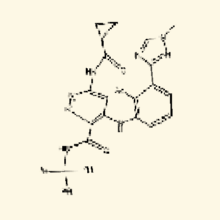 [2H]C([2H])([2H])NC(=O)c1nnc(NC(=O)C2CC2)cc1Nc1cccc(-c2ncn(C)n2)c1C(C)=O